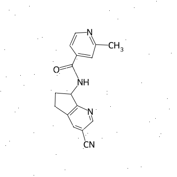 Cc1cc(C(=O)NC2CCc3cc(C#N)cnc32)ccn1